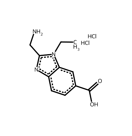 CCn1c(CN)nc2ccc(C(=O)O)cc21.Cl.Cl